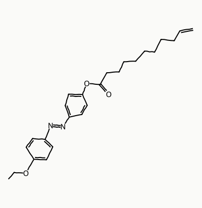 C=CCCCCCCCCC(=O)Oc1ccc(N=Nc2ccc(OCC)cc2)cc1